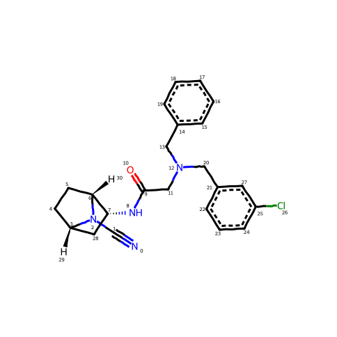 N#CN1[C@H]2CC[C@@H]1[C@H](NC(=O)CN(Cc1ccccc1)Cc1cccc(Cl)c1)C2